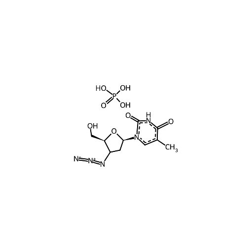 Cc1cn([C@H]2CC(N=[N+]=[N-])[C@@H](CO)O2)c(=O)[nH]c1=O.O=P(O)(O)O